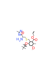 C=CCOC(=O)c1c(C)c(OC)cc(O[Si](C)(C)C(C)(C)C)c1CSCC(N)c1nc(C)no1